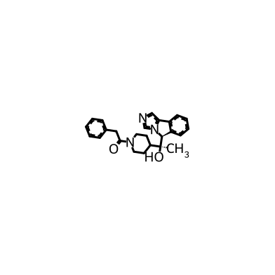 C[C@](O)(C1CCN(C(=O)Cc2ccccc2)CC1)[C@@H]1c2ccccc2-c2cncn21